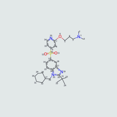 CN(C)CCCOc1cc(S(=O)(=O)c2ccc3c(c2)nc(C(C)(C)C)n3CC2CCCCC2)ccn1